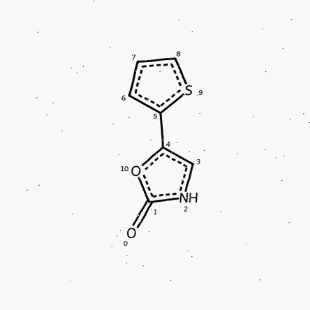 O=c1[nH]cc(-c2cccs2)o1